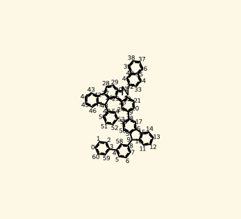 c1ccc(-c2cccc(C3c4ccccc4-c4cc(-c5ccc6c(c5)c5c7c(ccc5n6-c5ccc6ccccc6c5)-c5ccccc5C7c5ccccc5)ccc43)c2)cc1